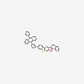 c1ccc(-c2c3ccccc3c(-c3cccc(-c4ccc5c(c4)sc4cc6oc7c8ccccc8ccc7c6cc45)c3)c3ccccc23)cc1